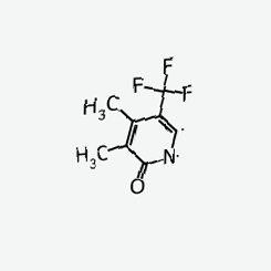 CC1=C(C)C(C(F)(F)F)=[C][N]C1=O